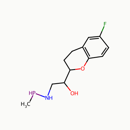 CPNCC(O)C1CCc2cc(F)ccc2O1